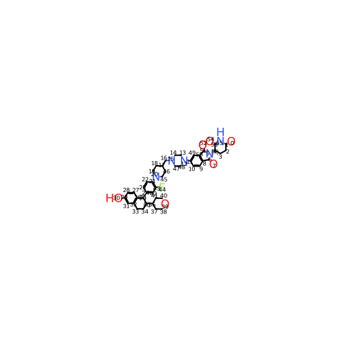 O=C1CC[C@@H](N2C(=O)c3ccc(N4CCN(CC5CCN(c6ccc([C@@H]7c8ccc(O)cc8CC[C@@H]7C7CCOCC7)cc6F)CC5)CC4)cc3C2=O)C(=O)N1